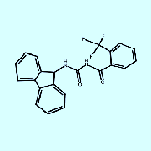 O=C(NC(=O)c1ccccc1C(F)(F)F)NC1c2ccccc2-c2ccccc21